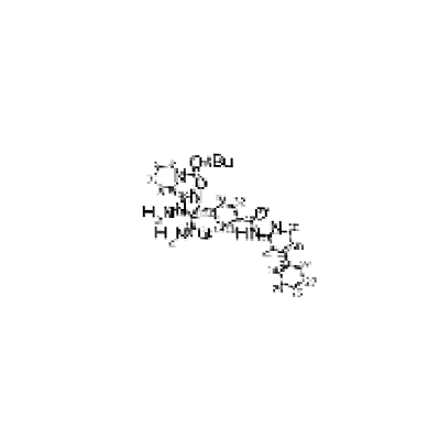 CC(C)(C)OC(=O)N1CCCC[C@H]1c1nc(-c2ccc(C(=O)Nc3cc(-c4ccccc4)ccn3)cc2)c(C(N)=O)n1N